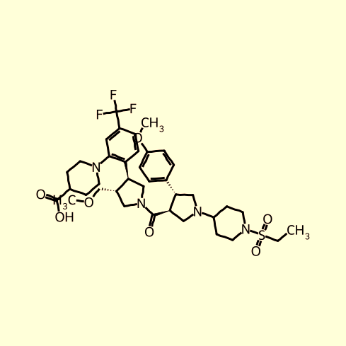 CCS(=O)(=O)N1CCC(N2C[C@@H](C(=O)N3C[C@H](COC)[C@@H](c4ccc(C(F)(F)F)cc4N4CCC(C(=O)O)CC4)C3)[C@H](c3ccc(OC)cc3)C2)CC1